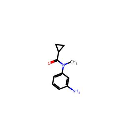 CN(C(=O)C1CC1)c1cccc(N)c1